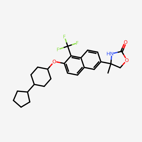 CC1(c2ccc3c(C(F)(F)F)c(OC4CCC(C5CCCC5)CC4)ccc3c2)COC(=O)N1